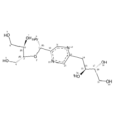 CCC[C@@H](O[C@H](CO)[C@H](O)CO)c1cnc(C[C@H](O)[C@H](O)CO)cn1